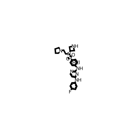 Cl.O=S(=O)(c1ccc(Nc2nccc(Nc3ccc(F)cc3)n2)cc1)N(CCN1CCCC1)C1CNC1